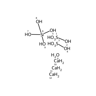 O.O=S(=O)(O)O.O=S(=O)(O)O.O[Si](O)(O)O.[CaH2].[CaH2].[CaH2]